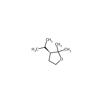 CC(C)[C@@H]1CCOC1(C)C